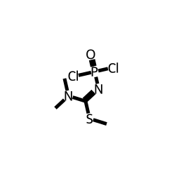 CSC(=NP(=O)(Cl)Cl)N(C)C